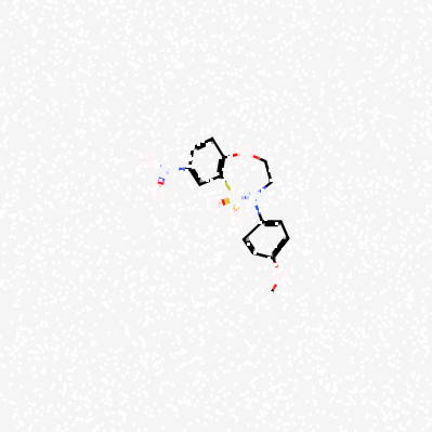 COc1ccc(N2CCOc3ccc([N+](=O)[O-])cc3S2(=O)=O)cc1